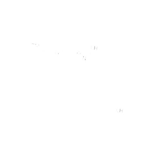 CCCCCCCCCC(C)=NOCCOCCO